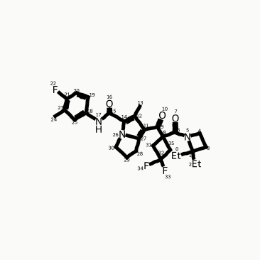 CCC1(CC)CCN1C(=O)C1(C(=O)c2c(C)c(C(=O)Nc3ccc(F)c(C)c3)n3c2CCC3)CC(F)(F)C1